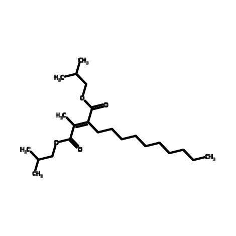 CCCCCCCCCCC(C(=O)OCC(C)C)=C(C)C(=O)OCC(C)C